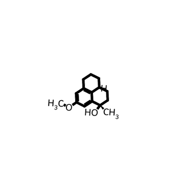 COc1cc2c3c(c1)[C@@](C)(O)CC[C@@H]3CCC2